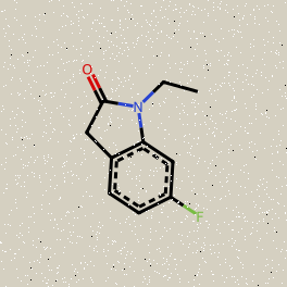 CCN1C(=O)Cc2ccc(F)cc21